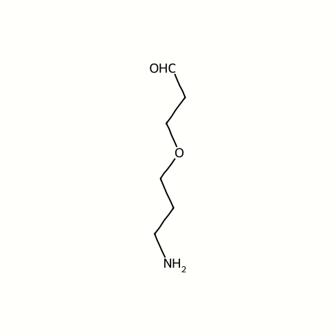 NCCCOCCC=O